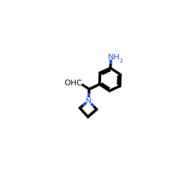 Nc1cccc(C(C=O)N2CCC2)c1